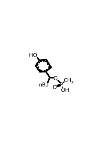 CCCCC(OP(C)(=O)O)c1ccc(O)cc1